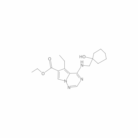 CCOC(=O)c1cn2ncnc(NCC3(O)CCCCC3)c2c1CC